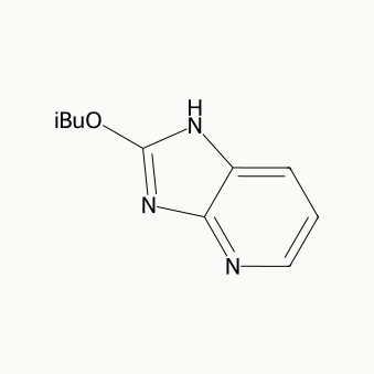 CC(C)COc1nc2ncccc2[nH]1